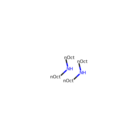 CCCCCCCCNCCCCCCCC.CCCCCCCCNCCCCCCCC